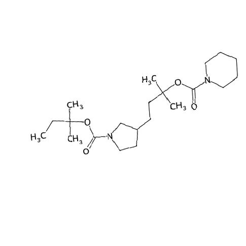 CCC(C)(C)OC(=O)N1CCC(CCC(C)(C)OC(=O)N2CCCCC2)C1